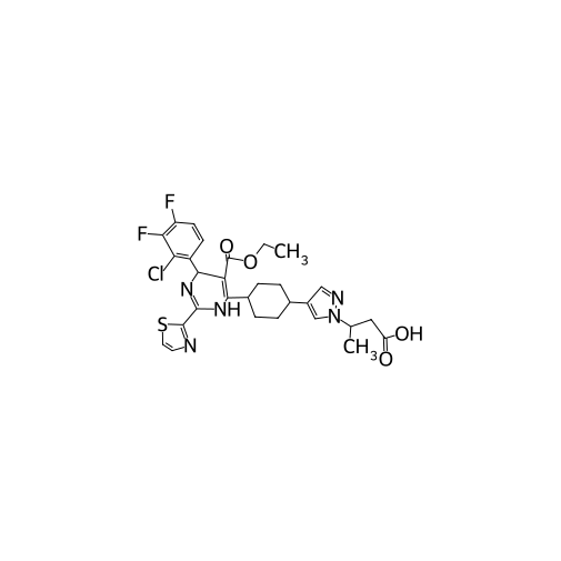 CCOC(=O)C1=C(C2CCC(c3cnn(C(C)CC(=O)O)c3)CC2)NC(c2nccs2)=NC1c1ccc(F)c(F)c1Cl